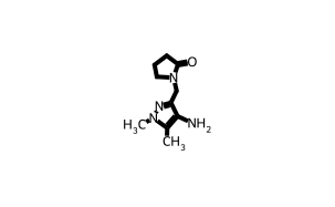 Cc1c(N)c(CN2CCCC2=O)nn1C